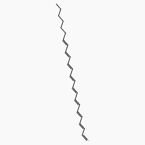 [CH]=CC=CC=CC=CC=CC=CC=CC=CC=CCCCCCC